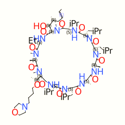 C/C=C/C[C@@H](C)[C@@H](O)[C@H]1C(=O)N[C@@H](CC)C(=O)N(C)[C@H](C)C(=O)N(C)[C@@H]([C@@H](C)OCCCCN2CCOCC2)C(=O)N[C@@H](C(C)C)C(=O)N(C)[C@@H](CC(C)C)C(=O)N[C@@H](C)C(=O)N[C@H](C)C(=O)N(C)[C@@H](CC(C)C)C(=O)N(C)[C@@H](CC(C)C)C(=O)N[C@@H](C(C)C)C(=O)N1C